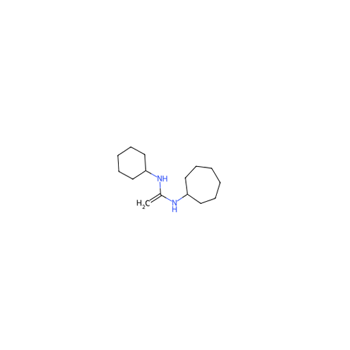 C=C(NC1CCCCCC1)NC1CCCCC1